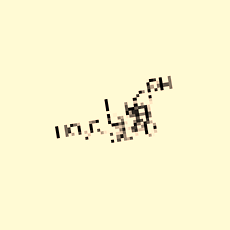 CC(CCC(=O)O)[C@H]1CC[C@H]2[C@@H]3C(=O)CC4CC(O)CC[C@]4(C)[C@H]3CC(O)[C@]12C